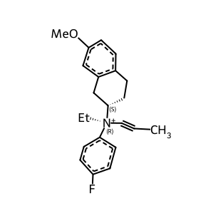 CC#C[N@@+](CC)(c1ccc(F)cc1)[C@H]1CCc2ccc(OC)cc2C1